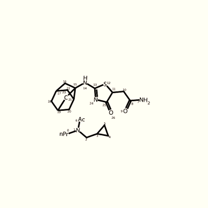 CCCN(CC1CC1)C(C)=O.NC(=O)CC1SC(NC23CC4CC(CC2C4)C3)=NC1=O